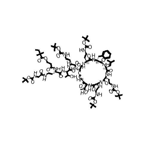 CCC(C)(C)C(=O)OCCC(=O)N[C@@H](CCNC(=O)CNC(=O)OC(C)(C)C)C(=O)N[C@H](C(=O)N[C@@H](CCNC(=O)OC(C)(C)C)C(=O)N[C@H]1CCNC(=O)[C@H]([C@H](C)O)NC(=O)[C@H](CCNC(=O)OC(C)(C)C)NC(=O)[C@H](CCNC(=O)OC(C)(C)C)NC(=O)[C@H](CC(C)C)NC(=O)[C@@H](Cc2ccccc2)NC(=O)[C@H](CCNC(=O)OC(C)(C)C)NC1=O)C(C)O